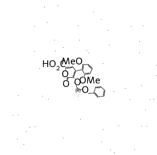 COc1cccc(OC)c1-c1cc(C(=O)O)oc(=O)c1OC[C@@H](C)OCc1ccccc1